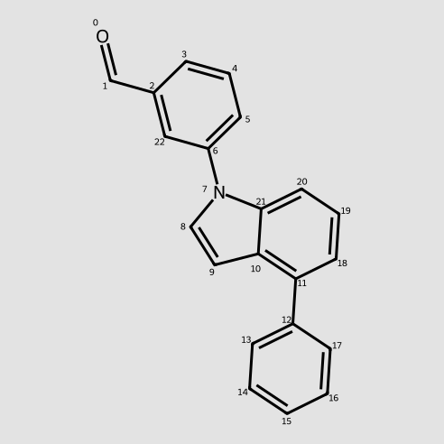 O=Cc1cccc(-n2ccc3c(-c4ccccc4)cccc32)c1